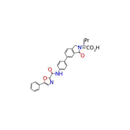 CC(C)[C@@H](C(=O)O)N1Cc2ccc(-c3ccc(NC(=O)c4ncc(-c5ccccc5)o4)cc3)cc2C1=O